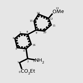 CCOC(=O)CC(N)c1cccc(-c2ccc(OC)cc2)c1